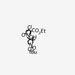 CCOC(=O)c1cn(C[C@@]2(O)CCN(C(=O)OC(C)(C)C)CC2(C)C)c(=O)cc1Cl